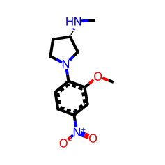 CN[C@H]1CCN(c2ccc([N+](=O)[O-])cc2OC)C1